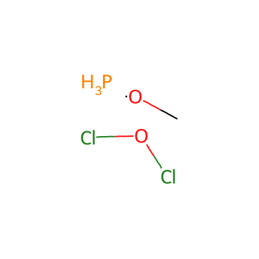 C[O].ClOCl.P